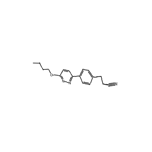 CCCCOc1ccc(-c2ccc(CCC#N)cc2)nn1